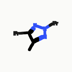 Cc1nn(C(C)C)nc1C(C)C